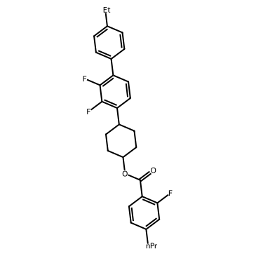 CCCc1ccc(C(=O)OC2CCC(c3ccc(-c4ccc(CC)cc4)c(F)c3F)CC2)c(F)c1